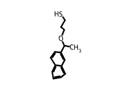 CC(OCCCS)c1ccc2ccccc2c1